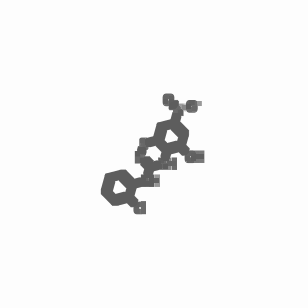 O=[N+]([O-])c1cc(O)c2c(c1)SN=C(Nc1ccccc1Cl)N2